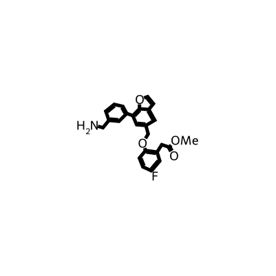 COC(=O)Cc1cc(F)ccc1OCc1cc(-c2cccc(CN)c2)c2occc2c1